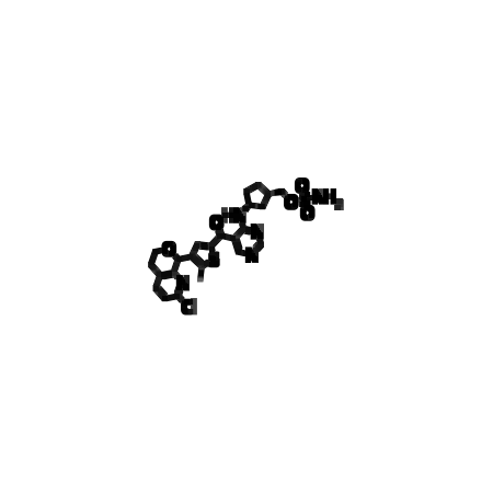 Cc1sc(C(=O)c2cncnc2N[C@H]2CC[C@@H](COS(N)(=O)=O)C2)cc1C1OCCc2ccc(Cl)nc21